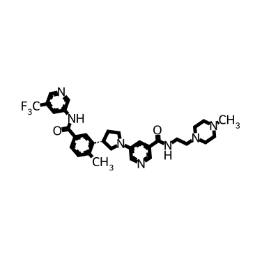 Cc1ccc(C(=O)Nc2cncc(C(F)(F)F)c2)cc1[C@@H]1CCN(c2cncc(C(=O)NCCN3CCN(C)CC3)c2)C1